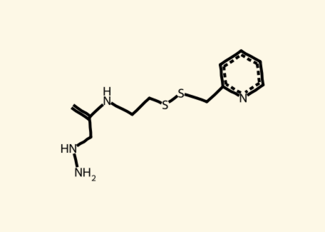 C=C(CNN)NCCSSCc1ccccn1